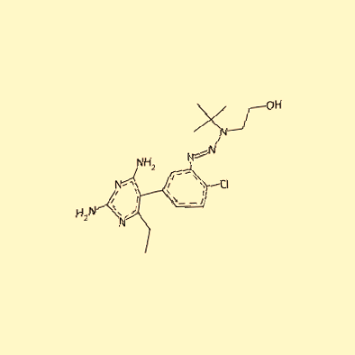 CCc1nc(N)nc(N)c1-c1ccc(Cl)c(/N=N/N(CCO)C(C)(C)C)c1